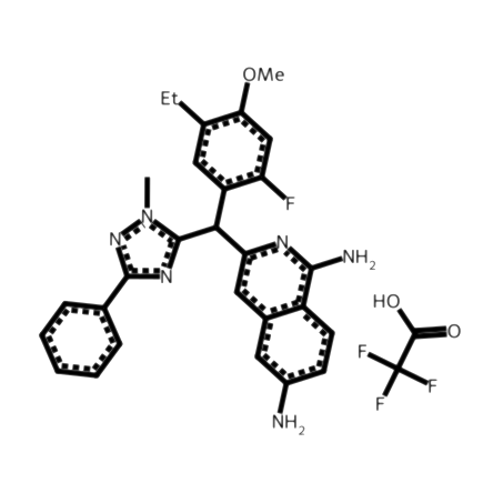 CCc1cc(C(c2cc3cc(N)ccc3c(N)n2)c2nc(-c3ccccc3)nn2C)c(F)cc1OC.O=C(O)C(F)(F)F